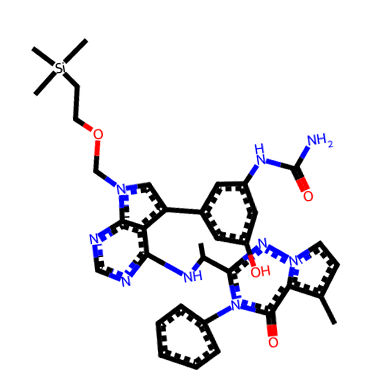 Cc1ccn2nc(C(C)Nc3ncnc4c3c(-c3cc(O)cc(NC(N)=O)c3)cn4COCC[Si](C)(C)C)n(-c3ccccc3)c(=O)c12